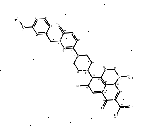 COc1cccc(Cn2nc(N3CCN(C4C5=c6c(c(=O)c(C(=O)O)cn6N(C)CO5)=CC4F)CC3)ccc2=O)c1